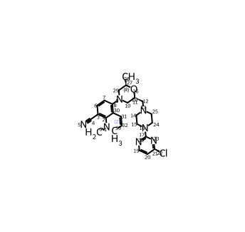 C=Nc1c(C#N)ccc(N2C[C@H](CN3CCN(c4nccc(Cl)n4)CC3)O[C@H](C)C2)c1/C=C\C